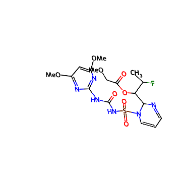 COCC(=O)OC(C(C)F)C1N=CC=CN1S(=O)(=O)NC(=O)Nc1nc(OC)cc(OC)n1